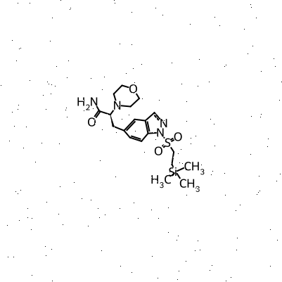 C[Si](C)(C)CCS(=O)(=O)n1ncc2cc(C[C@@H](C(N)=O)N3CCOCC3)ccc21